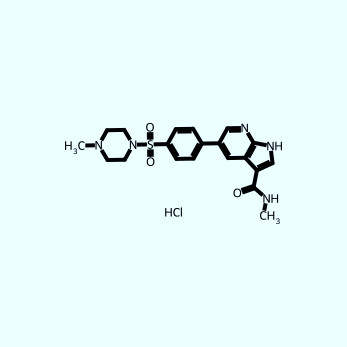 CNC(=O)c1c[nH]c2ncc(-c3ccc(S(=O)(=O)N4CCN(C)CC4)cc3)cc12.Cl